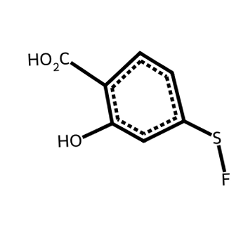 O=C(O)c1ccc(SF)cc1O